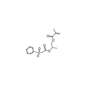 C=C(C)C(=O)OCC(C)OC(=O)CS(=O)(=O)c1ccccc1